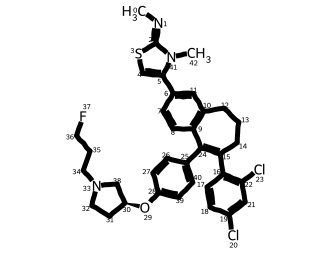 C/N=c1\scc(-c2ccc3c(c2)CCCC(c2ccc(Cl)cc2Cl)=C3c2ccc(O[C@H]3CCN(CCCF)C3)cc2)n1C